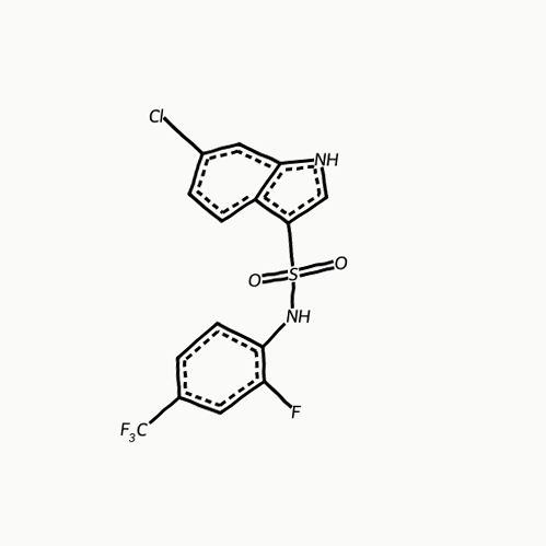 O=S(=O)(Nc1ccc(C(F)(F)F)cc1F)c1c[nH]c2cc(Cl)ccc12